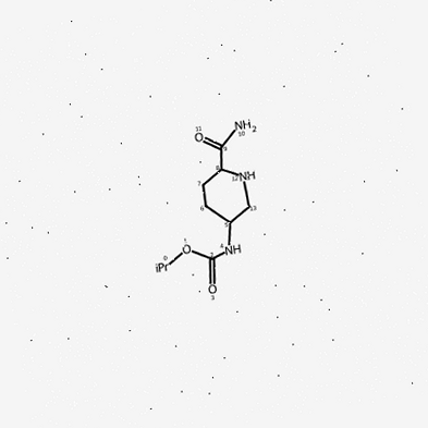 CC(C)OC(=O)NC1CCC(C(N)=O)NC1